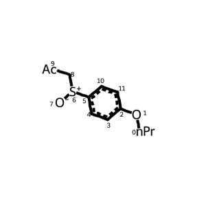 CCCOc1ccc([S+]([O-])CC(C)=O)cc1